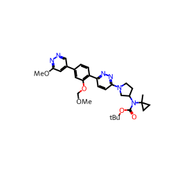 COCOc1cc(-c2cnnc(OC)c2)ccc1-c1ccc(N2CCC(N(C(=O)OC(C)(C)C)C3(C)CC3)C2)nn1